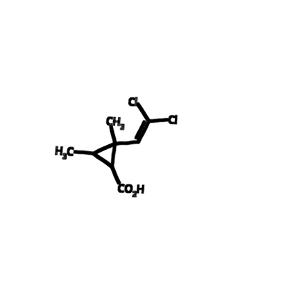 CC1C(C(=O)O)C1(C)C=C(Cl)Cl